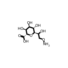 NOCC(O)[C@H]1O[C@H](C(=O)O)[C@@H](O)[C@@H](O)[C@@H]1O